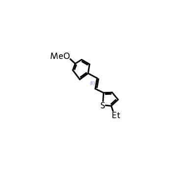 CCc1ccc(/C=C/c2ccc(OC)cc2)s1